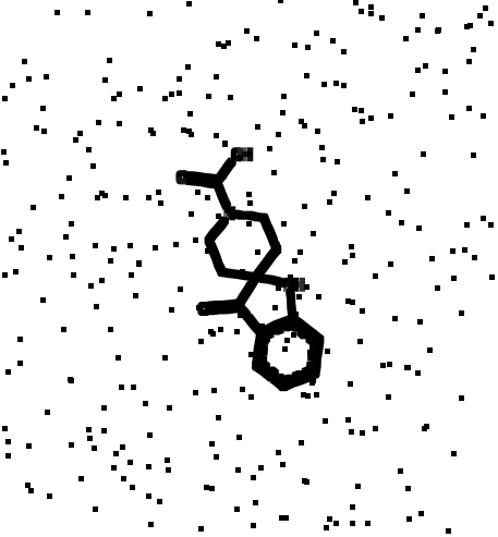 O=C(O)N1CCC2(CC1)Nc1ccccc1C2=O